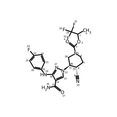 CC(OC(=O)N1CC[C@H](C#N)[C@@H](n2cc(C(N)=O)c(Nc3ccc(F)cc3)n2)C1)C(F)(F)F